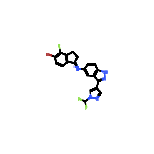 Fc1c(Br)ccc2c1CC/C2=N\c1ccc2[nH]nc(-c3cnn(C(F)F)c3)c2c1